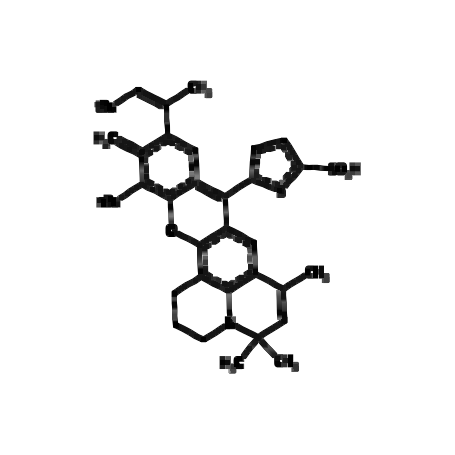 C=c1c(/C(C)=C\C(C)(C)C)cc2c(c1CCCC)Oc1c(cc3c4c1CCCN4C(C)(C)C=C3C)C=2c1ccc(S(=O)(=O)O)s1